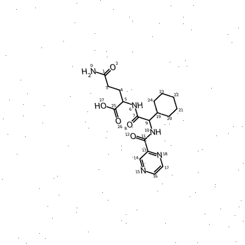 NC(=O)CCC(NC(=O)C(NC(=O)c1cnccn1)C1CCCCC1)C(=O)O